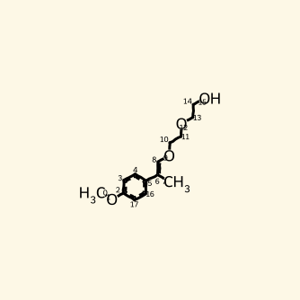 COc1ccc(C(C)=COCCOCCO)cc1